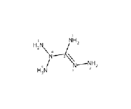 N/N=C(\N)N(N)N